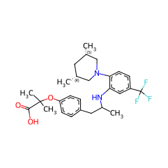 CC(Cc1ccc(OC(C)(C)C(=O)O)cc1)Nc1cc(C(F)(F)F)ccc1N1C[C@H](C)C[C@H](C)C1